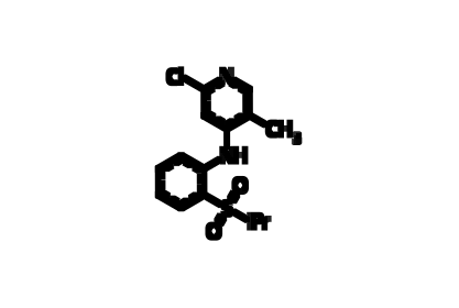 Cc1cnc(Cl)cc1Nc1ccccc1S(=O)(=O)C(C)C